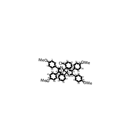 COc1ccc(C2=NC(c3ccccc3Cl)(C3(c4ccccc4Cl)N=C(c4ccc(OC)cc4)C(c4ccc(OC)cc4)=N3)N=C2c2ccc(OC)cc2)cc1